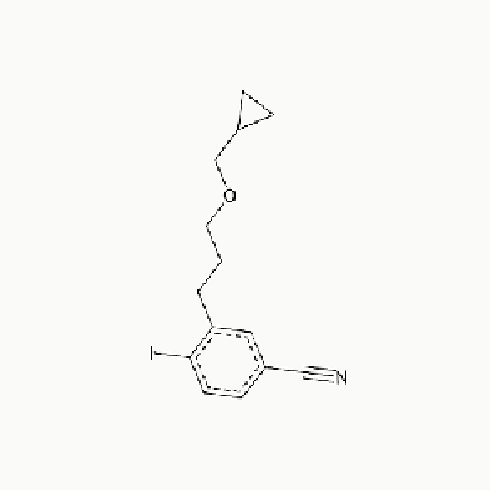 N#Cc1ccc(I)c(CCCOCC2CC2)c1